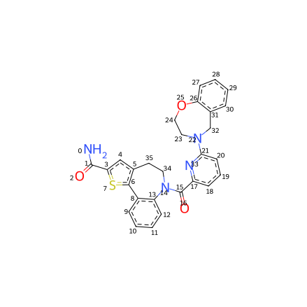 NC(=O)c1cc2c(s1)-c1ccccc1N(C(=O)c1cccc(N3CCOc4ccccc4C3)n1)CC2